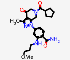 COCCCNc1cc(-n2nc(C)c3c2CN(C(=O)C2CCCC2)CC3=O)ccc1C(N)=O